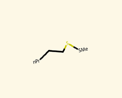 CCCCCSSC